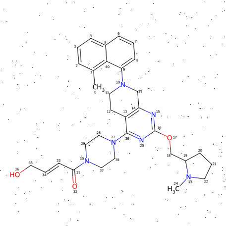 Cc1cccc2cccc(N3CCc4c(nc(OCC5CCCN5C)nc4N4CCN(C(=O)/C=C/CO)CC4)C3)c12